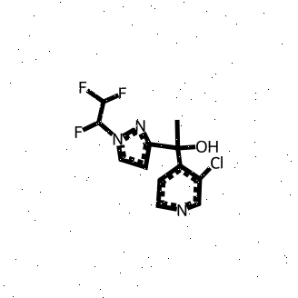 CC(O)(c1ccn(C(F)C(F)F)n1)c1ccncc1Cl